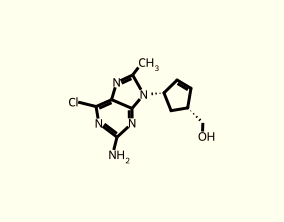 Cc1nc2c(Cl)nc(N)nc2n1[C@@H]1C=C[C@H](CO)C1